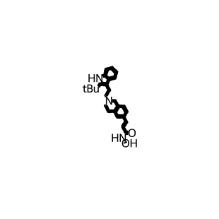 CC(C)(C)c1[nH]c2ccccc2c1CCN1CCc2cc(C=CC(=O)NO)ccc2C1